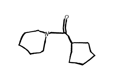 O=C(C1CCCC1)N1CCCCC1